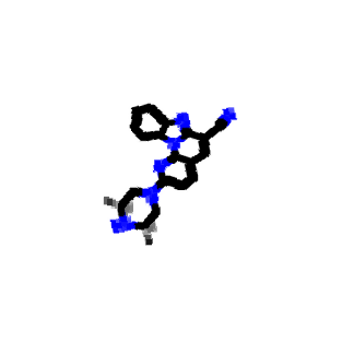 C[C@@H]1CN(c2ccc3cc(C#N)c4nc5ccccc5n4c3n2)C[C@H](C)N1